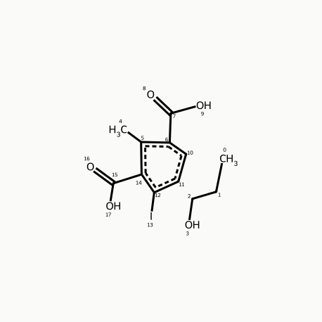 CCCO.Cc1c(C(=O)O)ccc(I)c1C(=O)O